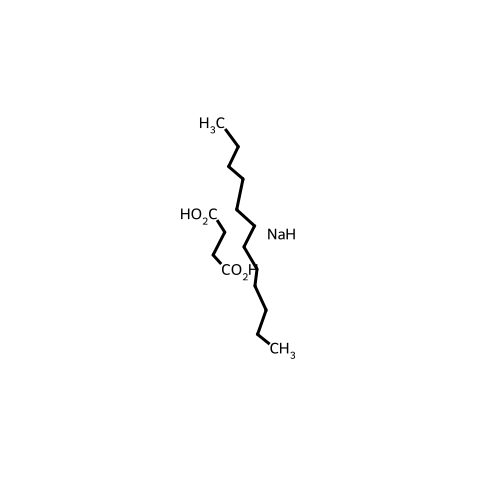 CCCCCCCCCCCC.O=C(O)CCC(=O)O.[NaH]